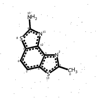 Cc1nc2c(ccc3sc(N)nc32)s1